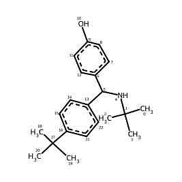 CC(C)(C)NC(c1ccc(O)cc1)c1ccc(C(C)(C)C)cc1